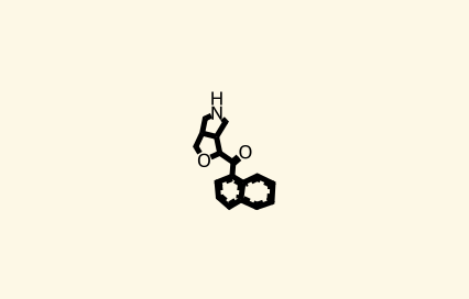 O=C(c1cccc2ccccc12)C1OCC2CNCC21